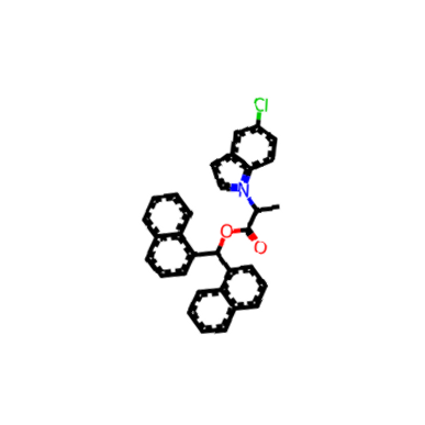 CC(C(=O)OC(c1cccc2ccccc12)c1cccc2ccccc12)n1ccc2cc(Cl)ccc21